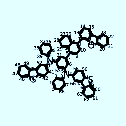 c1ccc(N(c2cc(-c3ccc(-c4cccc5c4oc4ccccc45)c4ccccc34)cc(N(c3ccccc3)c3ccc4sc5ccccc5c4c3)c2)c2ccc3sc4ccccc4c3c2)cc1